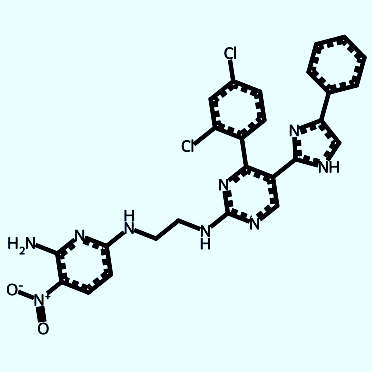 Nc1nc(NCCNc2ncc(-c3nc(-c4ccccc4)c[nH]3)c(-c3ccc(Cl)cc3Cl)n2)ccc1[N+](=O)[O-]